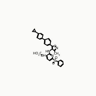 Cc1noc(-c2ccc(-c3ccc(C4CC4)cc3)cc2)c1Nc1cccc(S(=O)(=O)c2ccccc2)n1.O=C(O)O